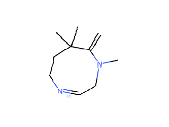 C=C1N(C)C/C=N\CCC1(C)C